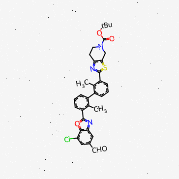 Cc1c(-c2nc3cc(C=O)cc(Cl)c3o2)cccc1-c1cccc(-c2nc3c(s2)CN(C(=O)OC(C)(C)C)CC3)c1C